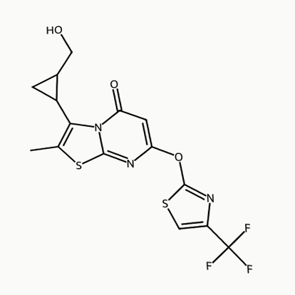 Cc1sc2nc(Oc3nc(C(F)(F)F)cs3)cc(=O)n2c1C1CC1CO